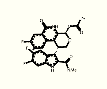 CNC(=O)c1[nH]c2cc(F)c(F)cc2c1[C@H]1CO[C@H](OC(=O)C(C)C)c2[nH]c(=O)c3cc(F)c(F)cc3c21